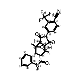 CN(C(=O)[C@@H]1CC2(C)OC1(C)[C@@H]1C(=O)N(c3ccc(C#N)c(C(F)(F)F)c3)C(=O)[C@@H]12)c1ccccc1